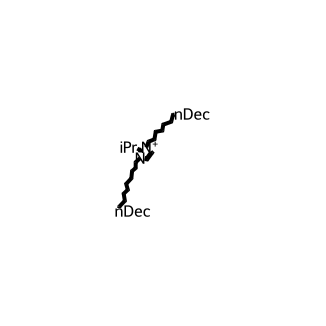 CCCCCCCCCCCCCCCCCCCn1cc[n+](CCCCCCCCCCCCCCCCC)c1C(C)C